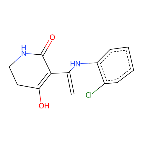 C=C(Nc1ccccc1Cl)C1=C(O)CCNC1=O